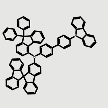 c1ccc(C2(c3ccccc3)c3ccccc3-c3c(N(c4ccc(-c5ccc(-n6c7ccccc7c7ccccc76)cc5)cc4)c4ccc5c(c4)C4(c6ccccc6-c6ccccc64)c4ccccc4-5)cccc32)cc1